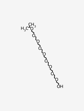 CC(C)OCCOCCOCCOCCOCCOCCOCCOCCOCCO